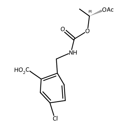 CC(=O)O[C@@H](C)OC(=O)NCc1ccc(Cl)cc1C(=O)O